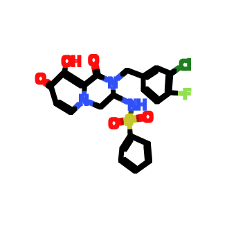 O=C1c2c(O)c(=O)ccn2CC(NS(=O)(=O)c2ccccc2)N1Cc1ccc(F)c(Cl)c1